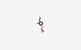 CCCc1ccc(OCC2CO2)cc1C